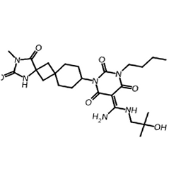 CCCCN1C(=O)/C(=C(/N)NCC(C)(C)O)C(=O)N(C2CCC3(CC2)CC2(C3)NC(=O)N(C)C2=O)C1=O